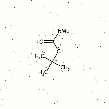 C[N]C(=O)OC(C)(C)C